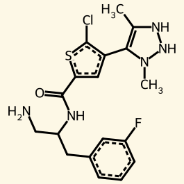 CC1=C(c2cc(C(=O)NC(CN)Cc3cccc(F)c3)sc2Cl)N(C)NN1